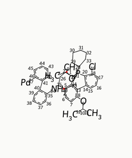 CC(C)Oc1cccc(OC(C)C)c1-c1cccc(Cl)c1P(C1CCCCC1)C1CCCCC1.Nc1ccccc1-c1cccc[c]1[Pd]